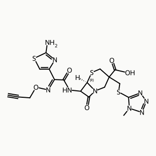 C#CCON=C(C(=O)NC1C(=O)N2CC(CSc3nnnn3C)(C(=O)O)CS[C@H]12)c1csc(N)n1